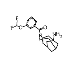 NC12CC3CC(C1)CC(NC(=O)c1cccc(OC(F)F)c1)(C3)C2